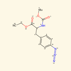 CC(C)(C)OC(=O)NC(Cc1ccc(N=[N+]=[N-])cc1)C(=O)OCC#N